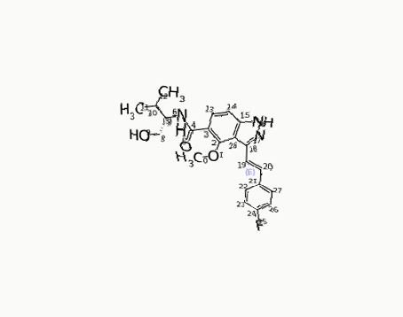 COc1c(C(=O)N[C@H](CO)C(C)C)ccc2[nH]nc(/C=C/c3ccc(F)cc3)c12